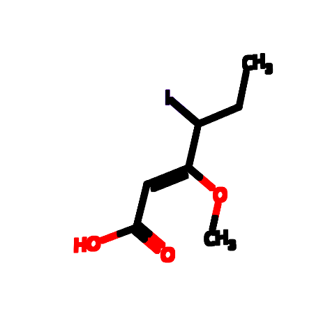 CCC(I)C(=CC(=O)O)OC